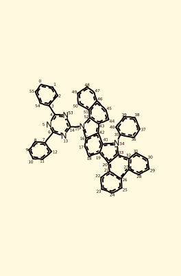 c1ccc(-c2nc(-c3ccccc3)nc(-n3c4ccc5c6c7ccccc7c7ccccc7c6n(-c6ccccc6)c5c4c4ccc5ccccc5c43)n2)cc1